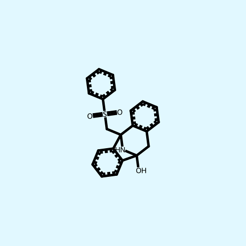 O=S(=O)(CC12NC(O)(Cc3ccccc31)c1ccccc12)c1ccccc1